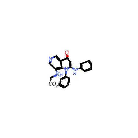 O=C(O)CNc1cncc2c(=O)cc(Nc3ccccc3)n(-c3ccccc3)c12